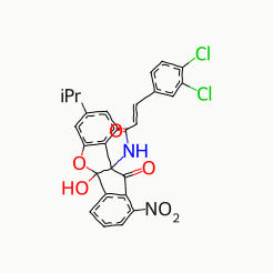 CC(C)c1ccc2c(c1)OC1(O)c3cccc([N+](=O)[O-])c3C(=O)C21NC(=O)/C=C/c1ccc(Cl)c(Cl)c1